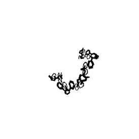 C=C(Oc1cccc(-c2cccc3c2oc2c(-n4ccnc4C4CC=C(C)O4)cccc23)c1)Oc1cc2cc(Oc3cccc(-c4cccc5c4oc4c(-n6ccnc6-c6ccc(C)o6)cccc45)c3)oc2cc1C